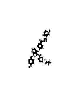 COc1ccc(Cn2nc(N[C@@H]3CCCN(OC(=O)C(F)(F)F)C3)c3c(Oc4ccc(C(=O)Nc5nc6c(s5)CN(C)CC6)cc4)ccnc32)cc1